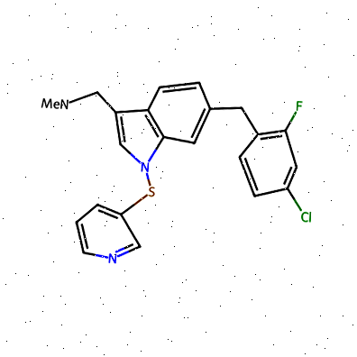 CNCc1cn(Sc2cccnc2)c2cc(Cc3ccc(Cl)cc3F)ccc12